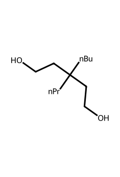 CCCCC(CCC)(CCO)CCO